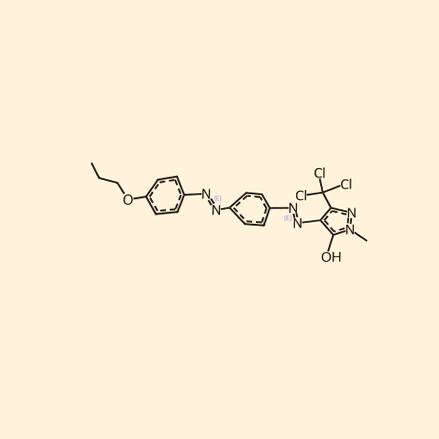 CCCOc1ccc(/N=N/c2ccc(/N=N/c3c(C(Cl)(Cl)Cl)nn(C)c3O)cc2)cc1